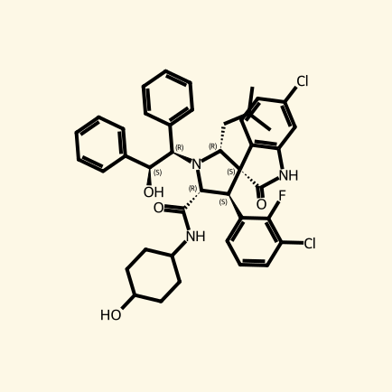 CC(C)C[C@H]1N([C@H](c2ccccc2)[C@@H](O)c2ccccc2)[C@@H](C(=O)NC2CCC(O)CC2)[C@H](c2cccc(Cl)c2F)[C@@]12C(=O)Nc1cc(Cl)ccc12